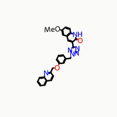 COc1ccc2[nH]c(=O)c(-c3nnn(Cc4cccc(OCc5ccc6ccccc6n5)c4)n3)cc2c1